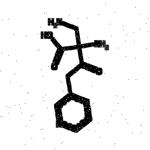 NCC(N)(C(=O)O)C(=O)Cc1cccnc1